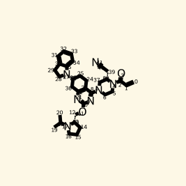 C=CC(=O)N1CCN(c2nc(OC[C@@H]3CCCN3C(C)C)nc3c2CC[C@@H](N2CCc4ccccc42)C3)C[C@@H]1CC#N